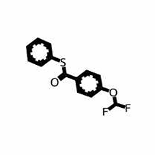 O=C(Sc1ccccc1)c1ccc(OC(F)F)cc1